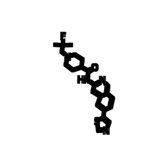 CC(C)(F)CN1CCC(C(=O)Nc2cc3cc(-c4cncs4)ccc3cn2)CC1